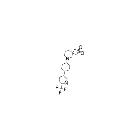 O=S1(=O)CC2(CCCN(C3CCC(c4ccc(C(F)(F)F)nc4)CC3)C2)C1